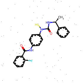 C[C@H](NC(=O)N(S)c1ccc(NC(=O)c2ccccc2F)cc1)c1ccccc1